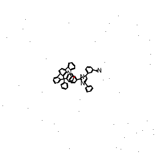 N#Cc1cccc(-c2cc(-c3ccccc3)nc(-c3cccc(-n4c5ccccc5c5ccc6c(c54)C(c4ccccc4)(c4ccccc4)c4ccccc4-6)c3)n2)c1